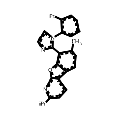 Cc1ccc2c(oc3nc(C(C)C)ccc32)c1-c1nccn1-c1ccccc1C(C)C